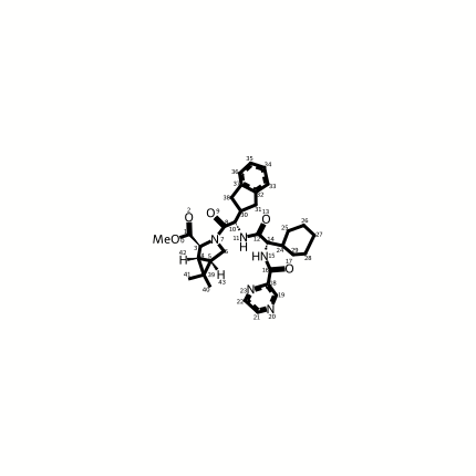 COC(=O)[C@@H]1[C@@H]2[C@H](CN1C(=O)[C@@H](NC(=O)[C@@H](NC(=O)c1cnccn1)C1CCCCC1)C1Cc3ccccc3C1)C2(C)C